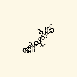 CC(=O)c1cn(CC(=O)N2C[C@H](F)C[C@H]2C(=O)NCc2cccc(Cl)c2F)c2ccc(NC(=O)NCC3=NCC=C3)cc12